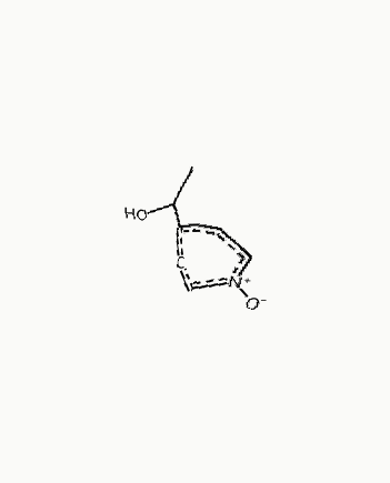 CC(O)c1cc[n+]([O-])cc1